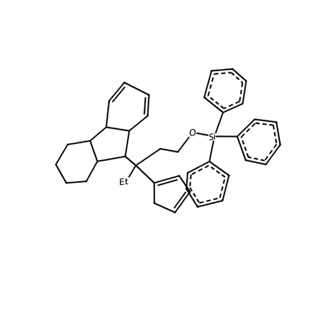 CCC(CCO[Si](c1ccccc1)(c1ccccc1)c1ccccc1)(C1=CC=CC1)C1C2C=CC=CC2C2CCCCC21